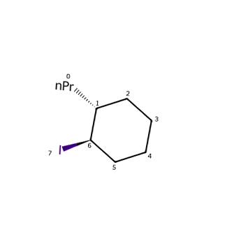 CCC[C@@H]1CCCC[C@H]1I